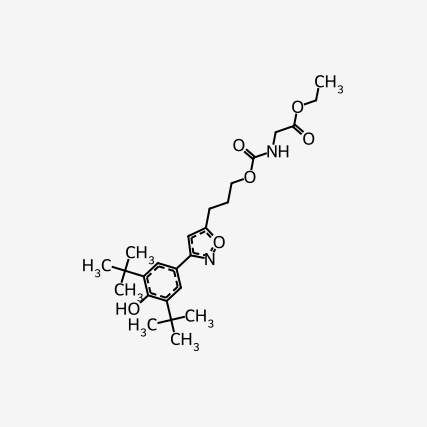 CCOC(=O)CNC(=O)OCCCc1cc(-c2cc(C(C)(C)C)c(O)c(C(C)(C)C)c2)no1